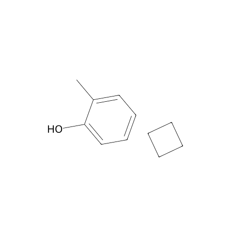 C1CCC1.Cc1ccccc1O